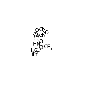 CNC(=O)c1cc(Oc2ccc3c(c2)CC(C(=O)Nc2cc(CC(C)[C](C)C)cc(C(F)(F)F)c2)CC3)ccn1